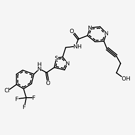 O=C(NCc1ncc(C(=O)Nc2ccc(Cl)c(C(F)(F)F)c2)s1)c1cc(C#CCCO)ncn1